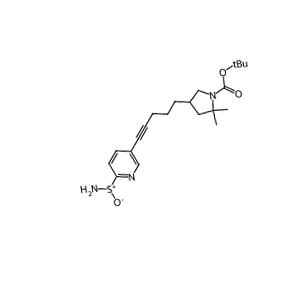 CC(C)(C)OC(=O)N1CC(CCCC#Cc2ccc([S+](N)[O-])nc2)CC1(C)C